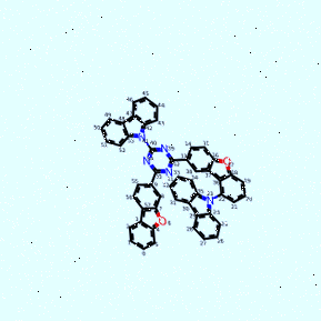 c1ccc2c(c1)oc1cc(-c3nc(-c4ccc5oc6cccc(-n7c8ccccc8c8ccccc87)c6c5c4)nc(-n4c5ccccc5c5ccccc54)n3)ccc12